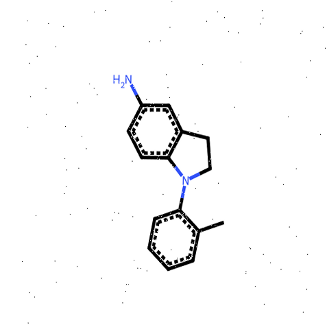 Cc1ccccc1N1CCc2cc(N)ccc21